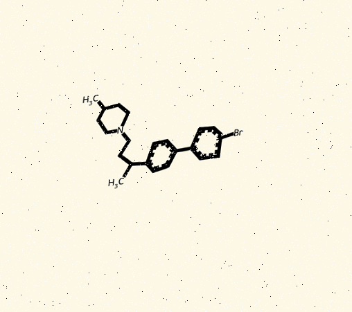 CC1CCN(CCC(C)c2ccc(-c3ccc(Br)cc3)cc2)CC1